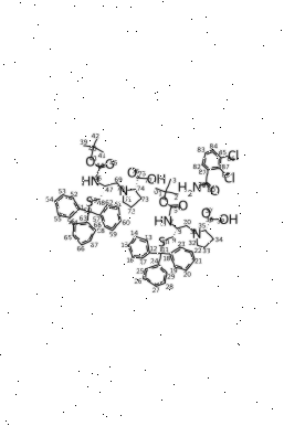 CC(C)(C)OC(=O)N[C@@H](CSC(c1ccccc1)(c1ccccc1)c1ccccc1)CN1CCC[C@H]1C(=O)O.CC(C)(C)OC(=O)N[C@@H](CSC(c1ccccc1)(c1ccccc1)c1ccccc1)CN1CCC[C@H]1C(=O)O.NC(=O)c1cccc(Cl)c1Cl